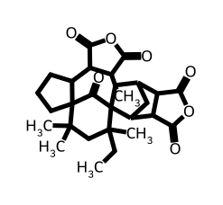 CCC1(C)CC(C)(C)C2(CCCC2C2C(=O)OC(=O)C2C)C(=O)C12CC1CC2C2C(=O)OC(=O)C12